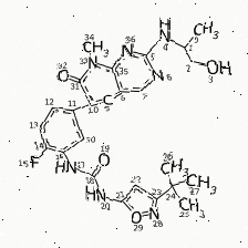 CC(CO)Nc1ncc2cc(-c3ccc(F)c(NC(=O)Nc4cc(C(C)(C)C)no4)c3)c(=O)n(C)c2n1